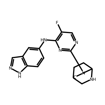 Fc1cnc(N2CC3CCC(C2)NC3)nc1Nc1ccc2[nH]ncc2c1